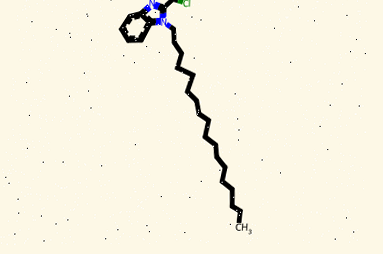 CCCCCCCCCCCCCCCCCCn1c(CCl)nc2ccccc21